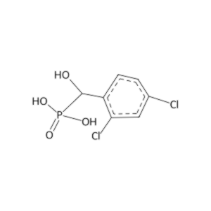 O=P(O)(O)C(O)c1ccc(Cl)cc1Cl